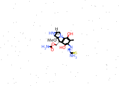 CO[C@@]12C3N[C@H]3CN1c1c(O)c(C)c(/N=N/C(N)=S)c(O)c1[C@@H]2COC(N)=O